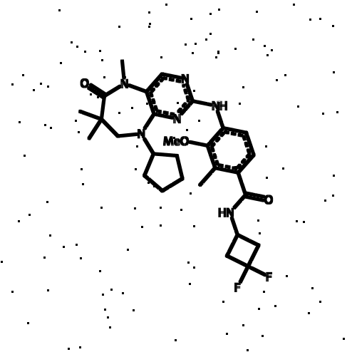 COc1c(Nc2ncc3c(n2)N(C2CCCC2)CC(C)(C)C(=O)N3C)ccc(C(=O)NC2CC(F)(F)C2)c1C